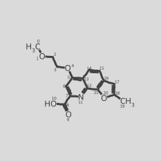 COCCOc1cc(C(=O)O)nc2c1ccc1cc(C)oc12